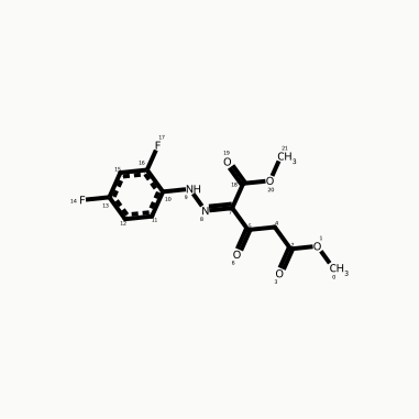 COC(=O)CC(=O)C(=NNc1ccc(F)cc1F)C(=O)OC